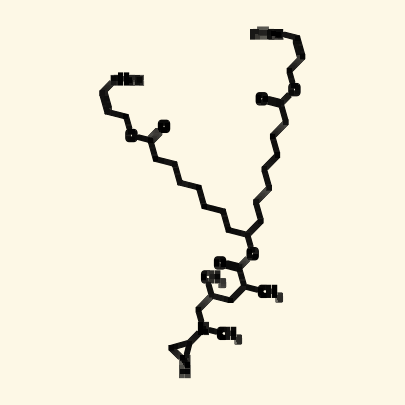 CCCCCC/C=C\COC(=O)CCCCCCCC(CCCCCCCC(=O)OC/C=C\CCCCCC)OC(=O)C(C)CC(C)CN(C)C1CN1